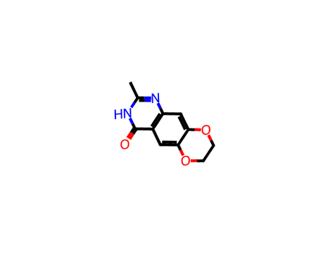 Cc1nc2cc3c(cc2c(=O)[nH]1)OCCO3